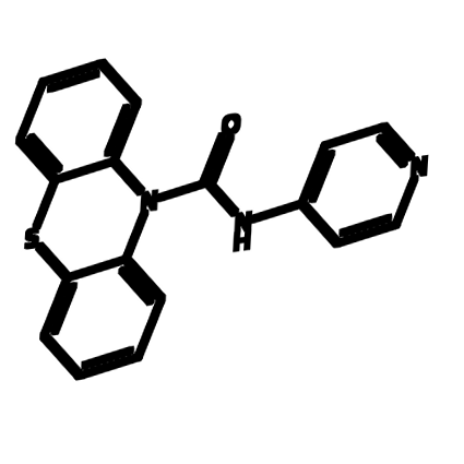 O=C(Nc1ccncc1)N1c2ccccc2Sc2ccccc21